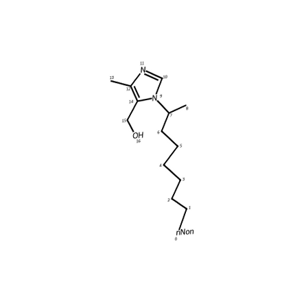 CCCCCCCCCCCCCCCC(C)n1cnc(C)c1CO